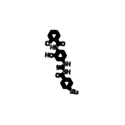 CC(C)(C)c1ccc(C(=O)NC(=S)Nc2ccc(NC(=O)c3ccccc3Cl)c(O)c2)cc1